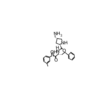 Cc1cccc(N(O)C(=O)[C@@H](CCc2ccccc2)NC(=O)[C@H]2C[C@H](CN)CN2)c1